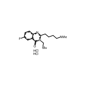 CNCCCCc1nc2ccc(F)cc2c(=O)n1CC(C)(C)C.Cl.Cl